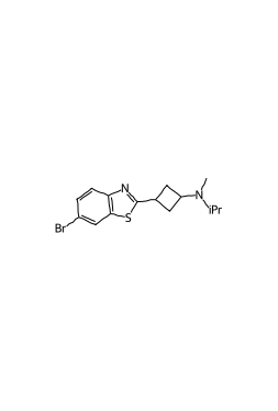 CC(C)N(C)C1CC(c2nc3ccc(Br)cc3s2)C1